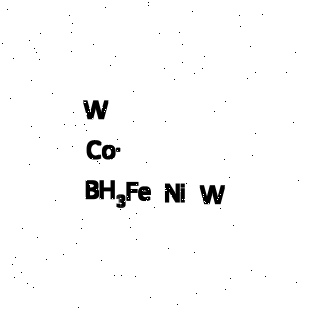 B.[Co].[Fe].[Ni].[W].[W]